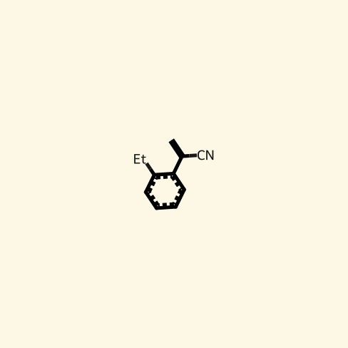 C=C(C#N)c1ccccc1CC